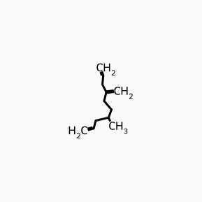 C=CCC(=C)CCC(C)CC=C